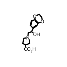 O=C(O)C1CCN(CC(O)c2ccc3c(c2)OCCO3)CC1